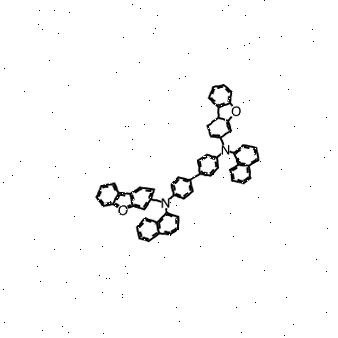 C1=C2Oc3ccccc3C2CC=C1N(c1ccc(-c2ccc(N(c3ccc4c(c3)oc3ccccc34)c3cccc4ccccc34)cc2)cc1)c1cccc2ccccc12